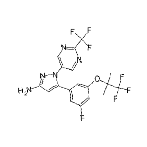 CC(C)(Oc1cc(F)cc(-c2cc(N)nn2-c2cnc(C(F)(F)F)nc2)c1)C(F)(F)F